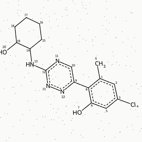 Cc1cc(Cl)cc(O)c1-c1cnc(NC2CCCCC2O)nn1